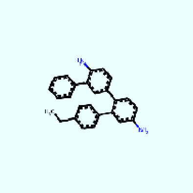 CCc1ccc(-c2cc(N)ccc2-c2ccc(N)c(-c3ccccc3)c2)cc1